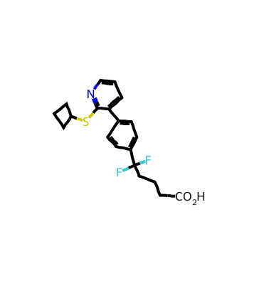 O=C(O)CCCC(F)(F)c1ccc(-c2cccnc2SC2CCC2)cc1